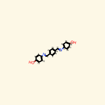 Oc1ccc(N=Cc2ccc(C=Nc3ccc(O)cc3)cc2)cc1